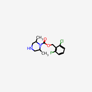 CC1CNCC(C)N1C(=O)OCc1c(F)cccc1Cl